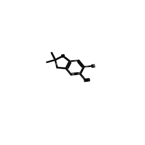 CC1(C)Cc2cc(N=O)c(Cl)cc2O1